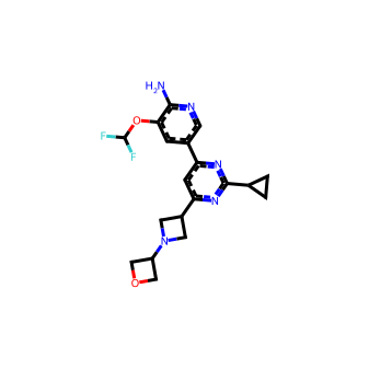 Nc1ncc(-c2cc(C3CN(C4COC4)C3)nc(C3CC3)n2)cc1OC(F)F